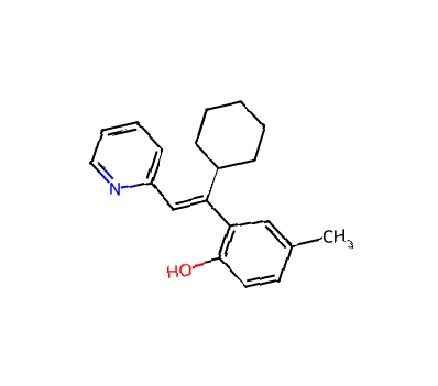 Cc1ccc(O)c(C(=Cc2ccccn2)C2CCCCC2)c1